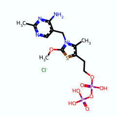 COc1sc(CCOP(=O)(O)OP(=O)(O)O)c(C)[n+]1Cc1cnc(C)nc1N.[Cl-]